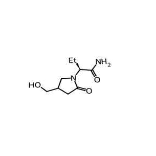 CC[C@@H](C(N)=O)N1CC(CO)CC1=O